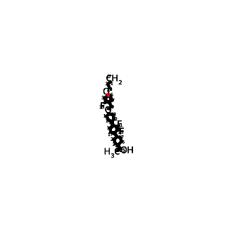 C=CCCOc1ccc(COC2CCC(C3=CCC(C4CCC(C(C)O)CC4)C(F)=C3F)CC2)c(F)c1